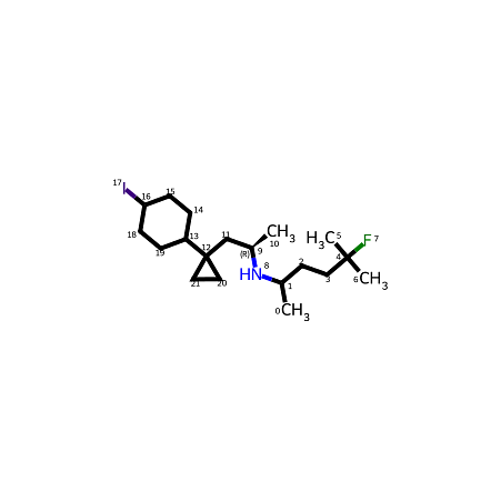 CC(CCC(C)(C)F)N[C@H](C)CC1(C2CCC(I)CC2)CC1